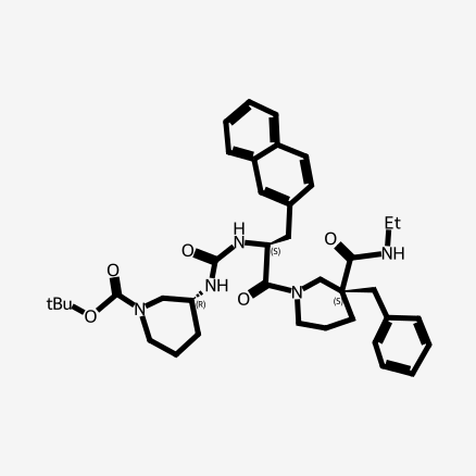 CCNC(=O)[C@]1(Cc2ccccc2)CCCN(C(=O)[C@H](Cc2ccc3ccccc3c2)NC(=O)N[C@@H]2CCCN(C(=O)OC(C)(C)C)C2)C1